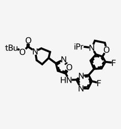 CC(C)N1CCOc2c(F)cc(-c3nc(Nc4cc(C5CCN(C(=O)OC(C)(C)C)CC5)no4)ncc3F)cc21